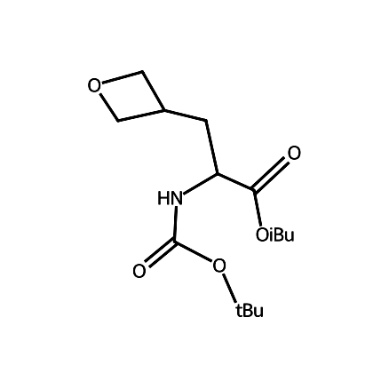 CC(C)COC(=O)C(CC1COC1)NC(=O)OC(C)(C)C